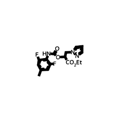 CCOC(=O)C(Cn1cccn1)OC(=O)Nc1c(F)cc(C)cc1F